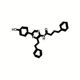 O=C(CCCc1ccccc1)Nc1ncc(-c2ccc(O)cc2)nc1CCc1ccccc1